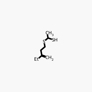 C=C(CC)CCSC(C)S